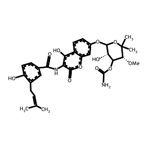 CO[C@@H]1C(OC(N)=O)[C@H](O)C(Oc2ccc3c(O)c(NC(=O)c4ccc(O)c(CC=C(C)C)c4)c(=O)oc3c2)OC1(C)C